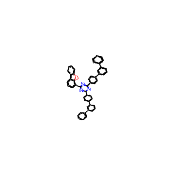 c1ccc(-c2cccc(-c3ccc(-c4nc(-c5ccc(-c6cccc(-c7ccccc7)c6)cc5)nc(-c5cccc6c5oc5ccccc56)n4)cc3)c2)cc1